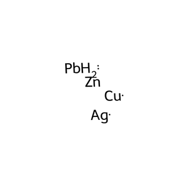 [Ag].[Cu].[PbH2].[Zn]